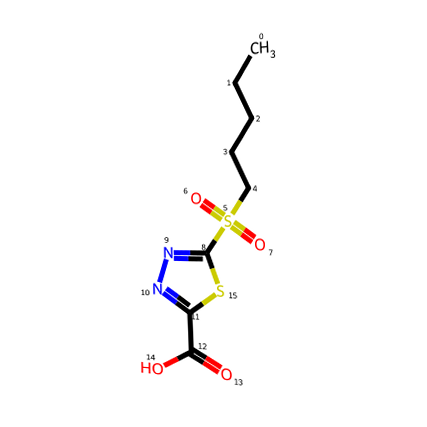 CCCCCS(=O)(=O)c1nnc(C(=O)O)s1